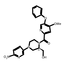 COc1cc(C(=O)N2CCN(c3ccc([N+](=O)[O-])nc3)C[C@@H]2CO)ncc1Oc1ccccc1